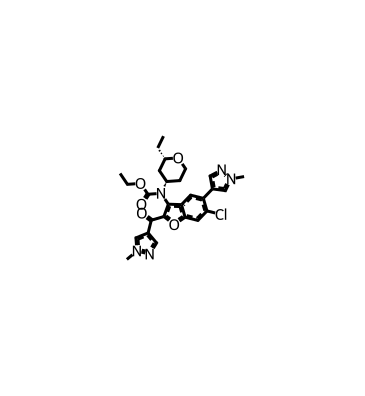 CCOC(=O)N(c1c(C(=O)c2cnn(C)c2)oc2cc(Cl)c(-c3cnn(C)c3)cc12)[C@H]1CCO[C@@H](CC)C1